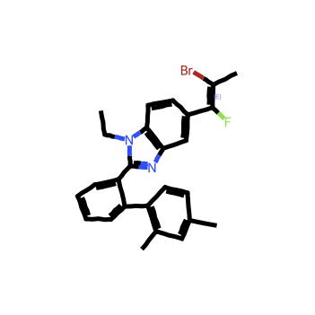 CCn1c(-c2ccccc2-c2ccc(C)cc2C)nc2cc(/C(F)=C(/C)Br)ccc21